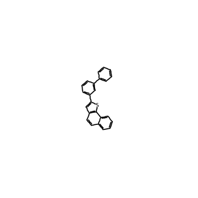 c1ccc(-c2cccc(-c3cc4ccc5ccccc5c4s3)c2)cc1